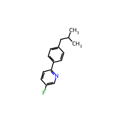 CC(C)Cc1ccc(-c2ccc(F)cn2)cc1